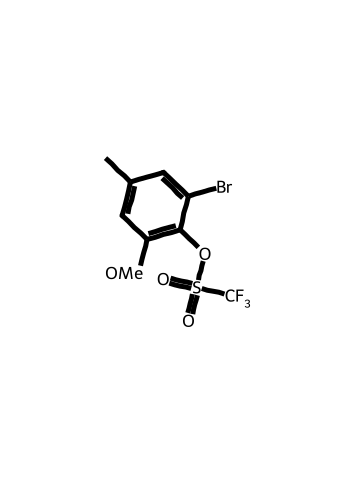 COc1cc(C)cc(Br)c1OS(=O)(=O)C(F)(F)F